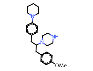 COc1ccc(CC(Cc2ccc(N3CCCCC3)cc2)N2CCNCC2)cc1